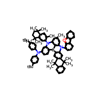 Cc1cc2c3c(c1)N(c1cccc4c1oc1ccccc14)c1cc4c(cc1B3c1ccc(N(c3ccc(C(C)(C)C)cc3)c3ccc(C(C)(C)C)cc3)cc1N2c1cc2c(cc1C)C(C)(C)CCC2(C)C)C(C)(C)c1ccccc1C4(C)C